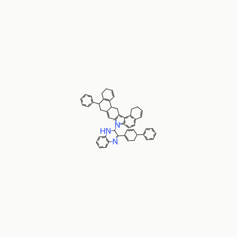 C1=CC2=C(CC1)C(c1ccccc1)CC1=Cc3c(c4c5c(ccc4n3C3Nc4ccccc4N=C3C3=CCC(c4ccccc4)C=C3)C=CCC5)CC12